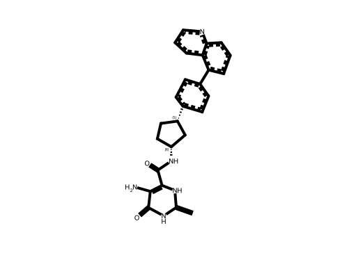 C=C1NC(=O)C(N)=C(C(=O)N[C@@H]2CC[C@H](c3ccc(-c4cccc5ncccc45)cc3)C2)N1